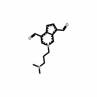 CN(C)CCCn1cc(C=O)c2ccc(C=O)c-2c1